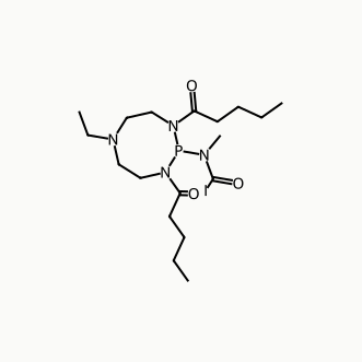 CCCCC(=O)N1CCN(CC)CCN(C(=O)CCCC)P1N(C)C(=O)I